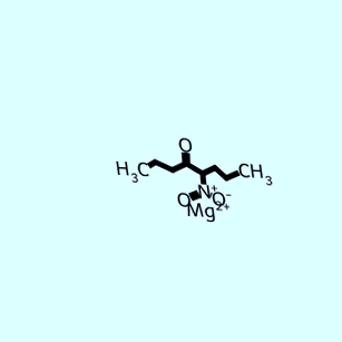 CCCC(=O)C(CCC)[N+](=O)[O-].[Mg+2]